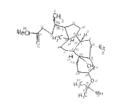 CC[C@H]1C[C@@H]2[C@H](CCC3(C)C([C@H](C)CCC(=O)OC)CC[C@@H]23)C2(C)CCC(O[Si](C)(C)C(C)(C)C)CC12